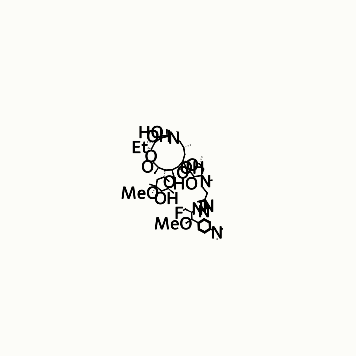 CC[C@H]1OC(=O)[C@H](C)C([C@H]2C[C@@](C)(OC)[C@@H](O)[C@H](C)O2)[C@H](C)[C@@H](O[C@@H]2O[C@H](C)C[C@H](N(C)CCc3cn([C@H](CF)[C@H](OC)c4ccc(N(C)C)cc4)nn3)[C@H]2O)[C@](C)(O)C[C@@H](C)CN(C)[C@H](C)[C@@H](O)[C@]1(C)O